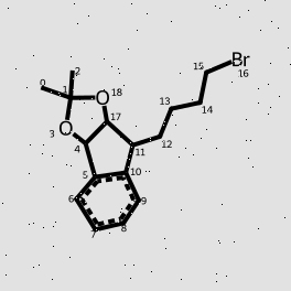 CC1(C)OC2c3ccccc3C(CCCCBr)C2O1